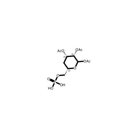 CC(=O)OC1O[C@H](COP(=O)(O)O)C[C@H](OC(C)=O)[C@@H]1OC(C)=O